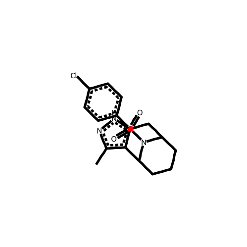 Cc1n[nH]c2c1C1CCCC(C2)N1S(=O)(=O)c1ccc(Cl)cc1